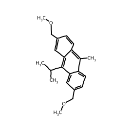 COCc1ccc2c(C)c3ccc(COC)cc3c(C(C)C)c2c1